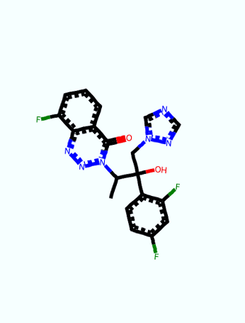 CC(n1nnc2c(F)cccc2c1=O)C(O)(Cn1cncn1)c1ccc(F)cc1F